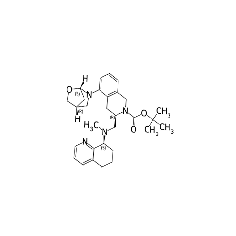 CN(C[C@H]1Cc2c(cccc2N2C[C@@H]3CO[C@H]2C3)CN1C(=O)OC(C)(C)C)[C@H]1CCCc2cccnc21